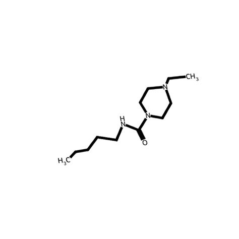 CCCCCNC(=O)N1CCN(CC)CC1